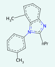 CCCc1nc2cccc(C)c2n1-c1cccc(C)c1